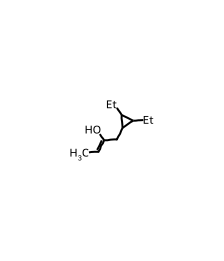 CC=C(O)CC1C(CC)C1CC